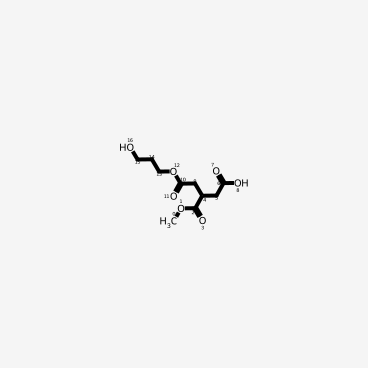 COC(=O)C(CC(=O)O)CC(=O)OCCCO